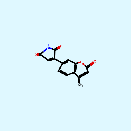 Cc1cc(=O)oc2cc(C3=CC(=O)NC3=O)ccc12